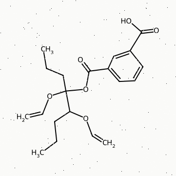 C=COC(CCC)C(CCC)(OC=C)OC(=O)c1cccc(C(=O)O)c1